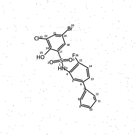 O=S(=O)(Nc1cc(-c2ccccc2)ccc1F)c1cc(Br)cc(Cl)c1O